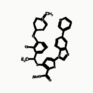 COC(=O)c1sc(-n2cnc3cc(-c4cccnc4)ccc32)cc1OC(C)c1cccc(OC2CCN(C)CC2)c1Cl